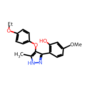 CCOc1ccc(Oc2c(-c3ccc(OC)cc3O)n[nH]c2C)cc1